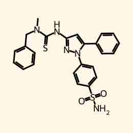 CN(Cc1ccccc1)C(=S)Nc1cc(-c2ccccc2)n(-c2ccc(S(N)(=O)=O)cc2)n1